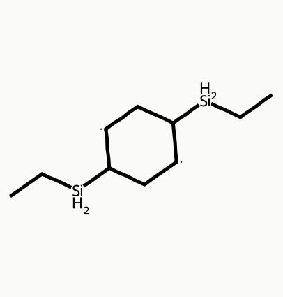 CC[SiH2]C1[CH]CC([SiH2]CC)[CH]C1